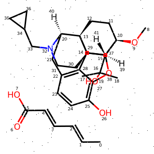 C/C=C/C=C/C(=O)O.CO[C@]12CC[C@@]3(C[C@@H]1C(C)(C)O)[C@H]1Cc4ccc(O)c5c4[C@@]3(CCN1CC1CC1)[C@H]2O5